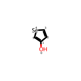 Oc1cc[se]c1